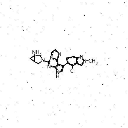 Cn1cc2c(Cl)c(-c3c[nH]c4nc(N5CC6CC6(N)C5)n5ccnc5c34)ccc2n1